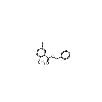 Cc1ccc(F)cc1C(=O)OCc1ccccc1